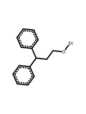 CCOCCC(c1ccccc1)c1ccccc1